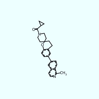 Cc1nccc2cc(-c3ccc4c(c3)CCC3(CCN(C(=O)C5CC5)CC3)O4)ccc12